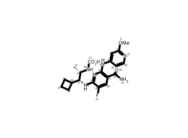 COc1cc(Nc2nc(N[C@H](C3CCC3)[C@H](C)NC(=O)O)c(F)cc2C(N)=O)ccn1